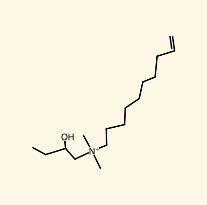 C=CCCCCCCCC[N+](C)(C)CC(O)CC